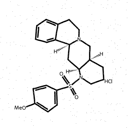 COc1ccc(S(=O)(=O)N2CCC[C@@H]3CN4CCc5ccccc5[C@@H]4C[C@@H]32)cc1.Cl